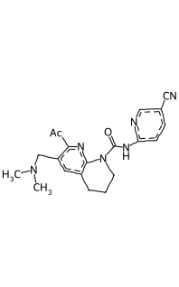 CC(=O)c1nc2c(cc1CN(C)C)CCCN2C(=O)Nc1ccc(C#N)cn1